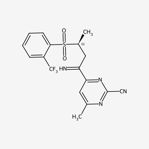 Cc1cc(C(=N)C[C@H](C)S(=O)(=O)c2ccccc2C(F)(F)F)nc(C#N)n1